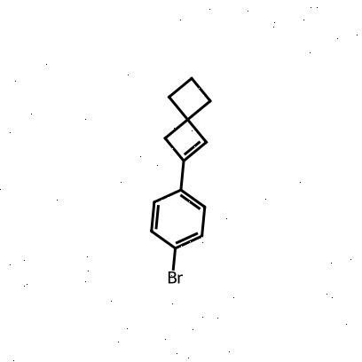 Brc1ccc(C2=CC3(CCC3)C2)cc1